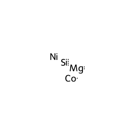 [Co].[Mg].[Ni].[Si]